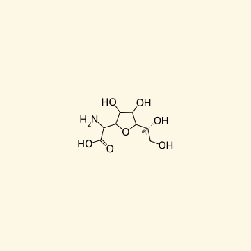 NC(C(=O)O)C1OC([C@H](O)CO)C(O)C1O